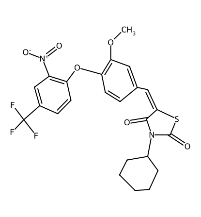 COc1cc(/C=C2/SC(=O)N(C3CCCCC3)C2=O)ccc1Oc1ccc(C(F)(F)F)cc1[N+](=O)[O-]